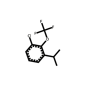 C[C](C)c1cccc(Cl)c1OC(F)(F)F